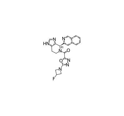 O=C(c1nnc(N2CC(F)C2)o1)N1CCc2[nH]cnc2[C@H]1c1cc2ccccc2cn1